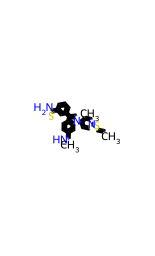 CCCSN1CCC(n2cc(-c3cccc(C(N)=S)c3)c3ccc(CNC)cc32)C(C)C1